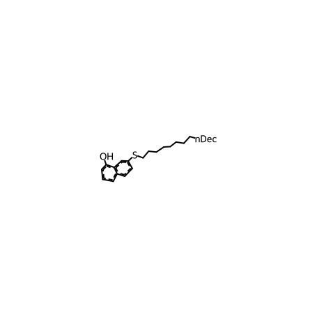 CCCCCCCCCCCCCCCCCCSc1ccc2cccc(O)c2c1